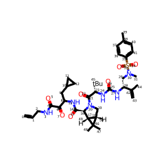 C=CCNC(=O)C(=O)C(CC1CC1)NC(=O)[C@@H]1[C@@H]2[C@H](CN1C(=O)[C@@H](NC(=O)N[C@H](CN(C)S(=O)(=O)c1ccc(C)cc1)C(=C)C)C(C)(C)C)C2(C)C